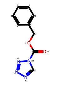 O=C(OCc1ccccc1)n1cnnn1